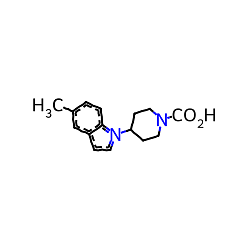 Cc1ccc2c(ccn2C2CCN(C(=O)O)CC2)c1